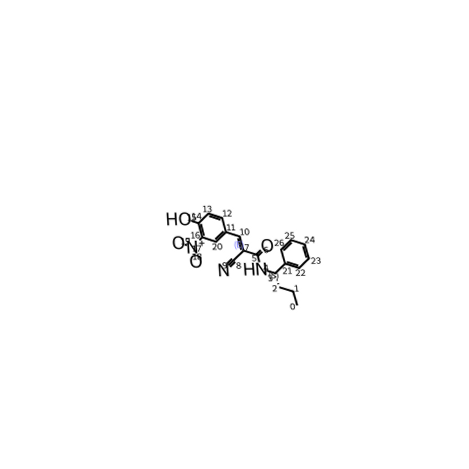 CCC[C@H](NC(=O)/C(C#N)=C/c1ccc(O)c([N+](=O)[O-])c1)c1ccccc1